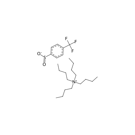 CCCC[N+](CCCC)(CCCC)CCCC.O=S([O-])c1ccc(C(F)(F)F)cc1